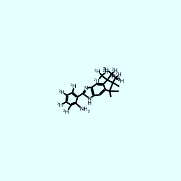 [2H]c1c([2H])c([2H])c(-c2nc3cc4c(cc3[nH]2)C(C)(C)C(C)(C([2H])([2H])[2H])C4(C([2H])([2H])[2H])C([2H])([2H])[2H])c(N)c1[2H]